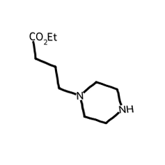 CCOC(=O)CCCN1CCNCC1